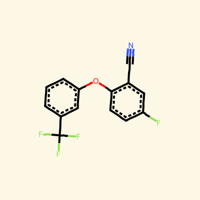 N#Cc1cc(F)ccc1Oc1cccc(C(F)(F)F)c1